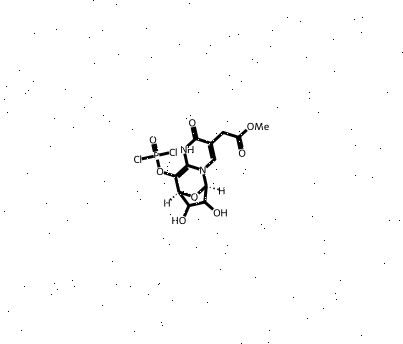 COC(=O)CC1=CN2C(=C(OP(=O)(Cl)Cl)[C@H]3O[C@@H]2C(O)C3O)NC1=O